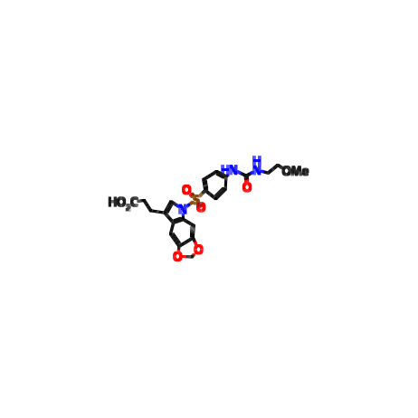 COCCNC(=O)Nc1ccc(S(=O)(=O)n2cc(CCC(=O)O)c3cc4c(cc32)OCO4)cc1